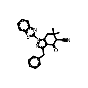 CC1(C)Cc2c(c(Cc3ccccc3)nn2-c2nc3ccccc3s2)C(=O)C1C#N